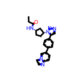 CCC(=O)N[C@H]1CC[C@@H](n2nncc2-c2ccc(-c3ccc4nccn4c3)cc2)C1